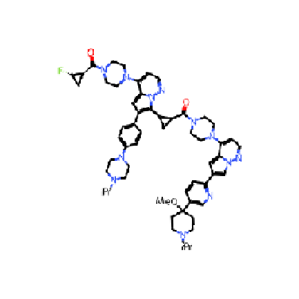 COC1(c2ccc(-c3cc4c(N5CCN(C(=O)C6CC6c6c(-c7ccc(N8CCN(C(C)C)CC8)cc7)cc7c(N8CCN(C(=O)[C@H]9C[C@@H]9F)CC8)ccnn67)CC5)ccnn4c3)nc2)CCN(C(C)C)CC1